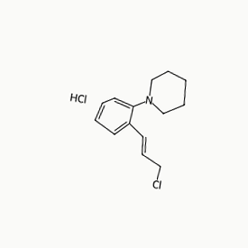 Cl.ClC/C=C/c1ccccc1N1CCCCC1